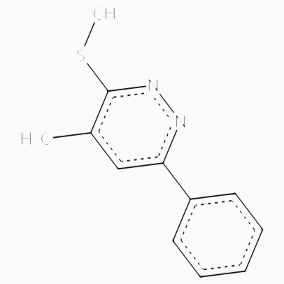 CSc1nnc(-c2ccccc2)cc1C